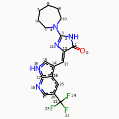 O=C1NC(N2CCCCCC2)=NC1=Cc1c[nH]c2ncc(C(F)(F)F)cc12